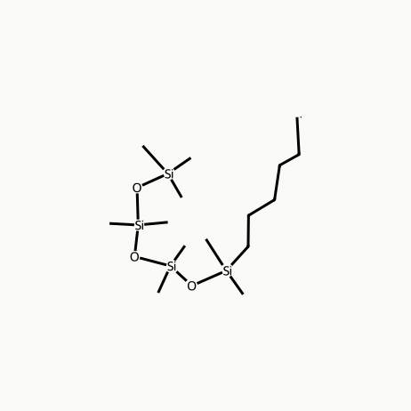 [CH2]CCCCC[Si](C)(C)O[Si](C)(C)O[Si](C)(C)O[Si](C)(C)C